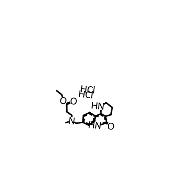 CCOC(=O)CCN(C)Cc1ccc2c3c(c(=O)[nH]c2c1)CCCN3.Cl.Cl